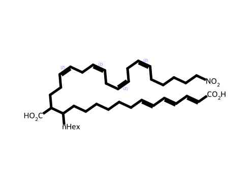 CCCCCCC(CCCCCCC=CC=CC=CC(=O)O)C(CC/C=C\C/C=C\C/C=C\C/C=C\CCCCC[N+](=O)[O-])C(=O)O